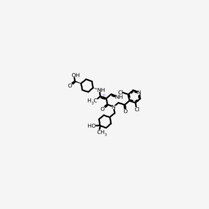 C/C(N[C@H]1CC[C@H](C(=O)O)CC1)=C(/C=N)C(=O)N(CC(=O)c1c(Cl)cncc1Cl)CC1CCC(C)(O)CC1